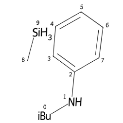 CCC(C)Nc1ccccc1.C[SiH3]